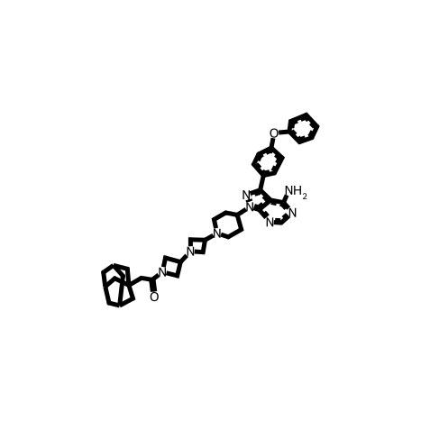 Nc1ncnc2c1c(-c1ccc(Oc3ccccc3)cc1)nn2C1CCN(C2CN(C3CN(C(=O)CC45CC6CC(CC(C6)C4)C5)C3)C2)CC1